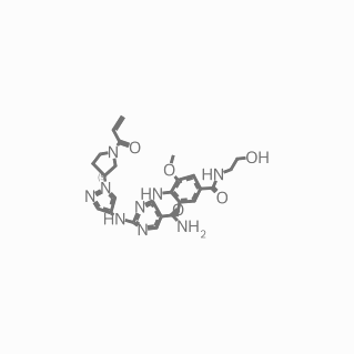 C=CC(=O)N1CC[C@H](n2cc(Nc3ncc(C(N)=O)c(Nc4c(C)cc(C(=O)NCCO)cc4OC)n3)cn2)C1